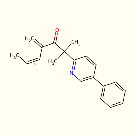 C=C(/C=C\C)C(=O)C(C)(C)c1ccc(-c2ccccc2)cn1